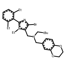 CCc1cccc(CC)c1-c1nc(Br)c(CN(Cc2ccc3c(c2)OCCO3)CC(C)(C)C)n1CC